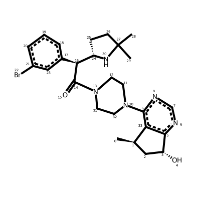 C[C@@H]1C[C@@H](O)c2ncnc(N3CCN(C(=O)[C@@H](c4cccc(Br)c4)[C@@H]4CCC(C)(C)N4)CC3)c21